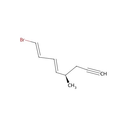 C#CC[C@@H](C)/C=C/C=C/Br